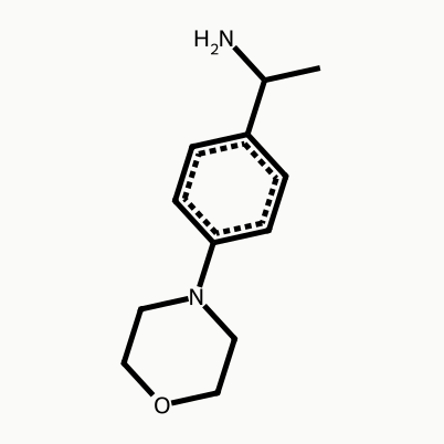 CC(N)c1ccc(N2CCOCC2)cc1